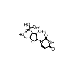 O=c1ccn([C@@H]2O[C@H](CO)[C@@H](P(O)(O)=S)[C@@H]2O)c(=O)[nH]1